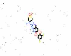 Cn1c(=O)c(Oc2ccc(F)cc2F)cc2cnc(NC3=CC[S+]([O-])C=C3)nc21